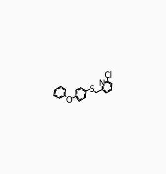 Clc1cccc(CSc2ccc(Oc3ccccc3)cc2)n1